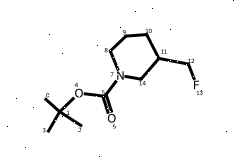 CC(C)(C)OC(=O)N1CCCC(CF)C1